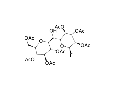 CC(=O)OC[C@H]1O[C@@H](C(O)[C@H]2O[C@H](F)[C@H](OC(C)=O)[C@@H](OC(C)=O)[C@@H]2OC(C)=O)[C@H](OC(C)=O)[C@@H](OC(C)=O)[C@@H]1OC(C)=O